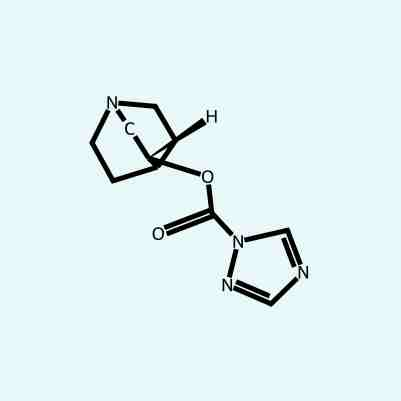 O=C(O[C@H]1CN2CCC1CC2)n1cncn1